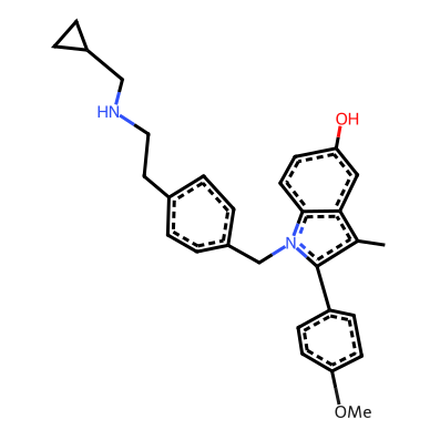 COc1ccc(-c2c(C)c3cc(O)ccc3n2Cc2ccc(CCNCC3CC3)cc2)cc1